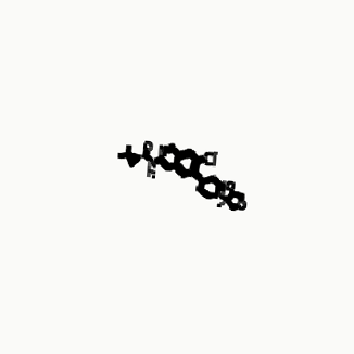 CC1(C)C[C@H]1C(=O)Nc1cc2cc(C3CCN([C@]4(C)COC[C@@H]4O)CC3)c(Cl)cc2cn1